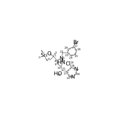 CC(C)(O[Si](C)(C)C)C1=CC(C(O)c2cncnc2Cl)NN1Cc1cccc(Br)c1